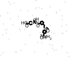 N/C(=N\O)c1ccc2c(c1)OCCN2CCc1cccc(C(=O)NCC(=O)N2CCC(C(=O)O)CC2)c1